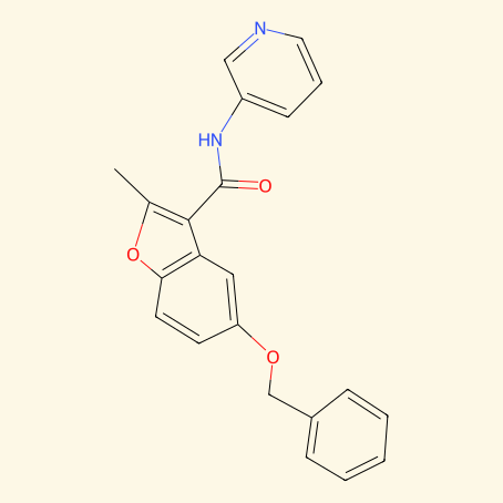 Cc1oc2ccc(OCc3ccccc3)cc2c1C(=O)Nc1cccnc1